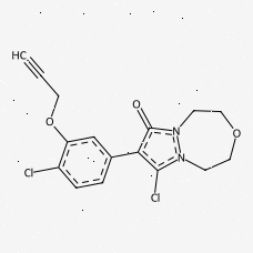 C#CCOc1cc(-c2c(Cl)n3n(c2=O)CCOCC3)ccc1Cl